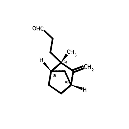 C=C1[C@@H]2CC[C@@H](C2)[C@]1(C)CCC=O